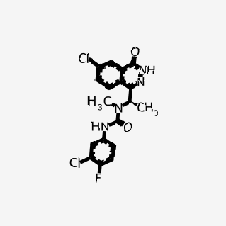 C[C@H](c1n[nH]c(=O)c2cc(Cl)ccc12)N(C)C(=O)Nc1ccc(F)c(Cl)c1